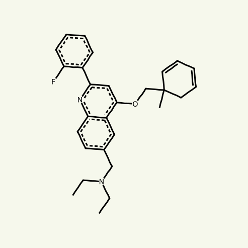 CCN(CC)Cc1ccc2nc(-c3ccccc3F)cc(OCC3(C)C=CC=CC3)c2c1